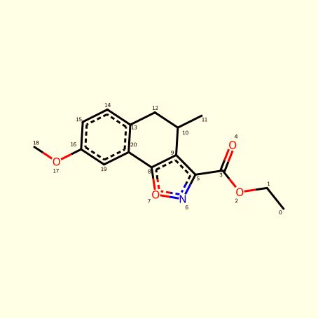 CCOC(=O)c1noc2c1C(C)Cc1ccc(OC)cc1-2